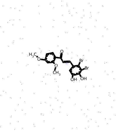 COc1ccc(C(=O)/C=C/c2cc(O)c(O)c(Br)c2Br)c(OC)c1